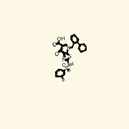 O=C(O)c1cn(Cc2ccccc2-c2ccccc2)c2sc(NS(=O)(=O)c3cccc(F)c3)nc2c1=O